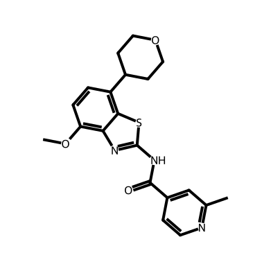 COc1ccc(C2CCOCC2)c2sc(NC(=O)c3ccnc(C)c3)nc12